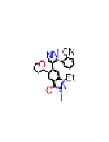 CCc1n[nH]c(=O)c2cc(C3CCCO3)c(-c3cnn(C)c3-c3ccccc3C#N)cc12